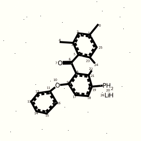 Cc1cc(C)c(C(=O)c2c(Oc3ccccc3)ccc(P)c2C)c(C)c1.[LiH]